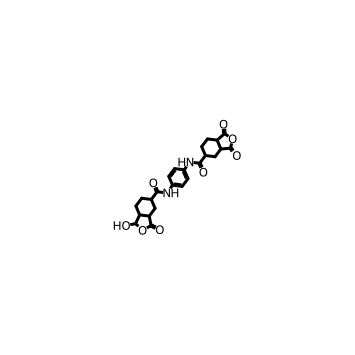 O=C(Nc1ccc(NC(=O)C2CCC3C(O)OC(=O)C3C2)cc1)C1CCC2C(=O)OC(=O)C2C1